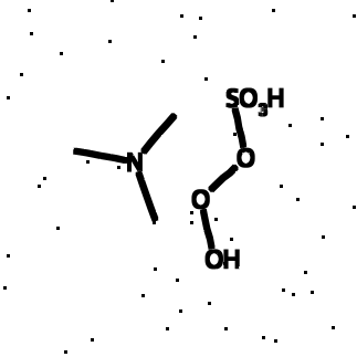 CN(C)C.O=S(=O)(O)OOO